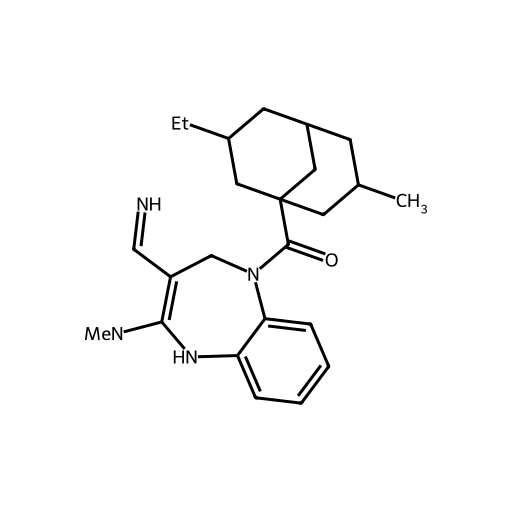 CCC1CC2CC(C)CC(C(=O)N3CC(C=N)=C(NC)Nc4ccccc43)(C1)C2